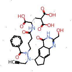 C#CCN([C@H]1CCC2=CC3N=C(CO)NC(=O)C3C=C21)N(CCCC(=O)N[C@@H](CC(C(=O)O)C(=O)O)C(=O)O)C(=O)c1ccccc1